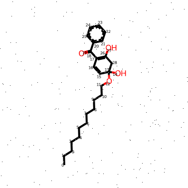 CCCCCCCCCCCCOC1(O)C=CC(C(=O)c2ccccc2)=C(O)C1